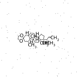 C=C[C@H](C)[C@]1(O)CC[C@H]2[C@@H]3CC[C@H]4CC5(C[C@H](C)[C@]4(C)[C@H]3CC[C@@]21C)OCCO5